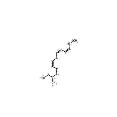 CB/C=C\C=C/C/C=C\C=C/N(C)CC(C)(C)C